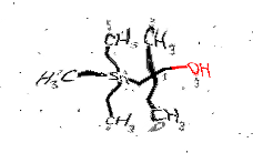 C[C](C)(O)[Sn]([CH3])([CH3])[CH3]